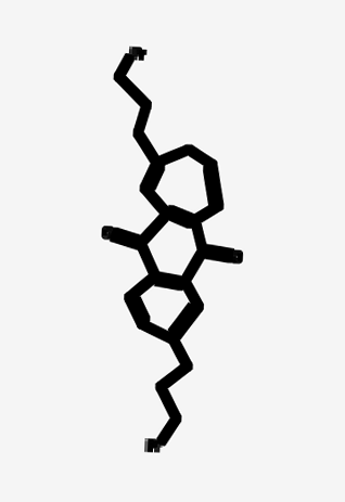 CC(C)CCCC1=CC2=C(C=CC1)C(=O)c1cc(CCCC(C)C)ccc1C2=O